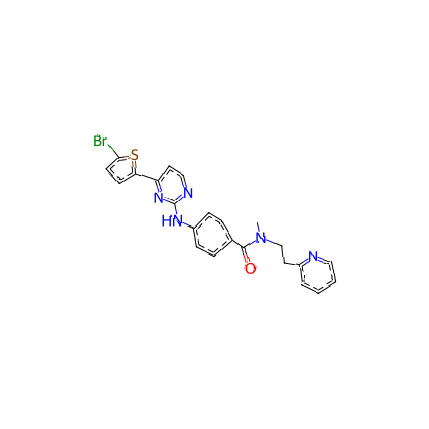 CN(CCc1ccccn1)C(=O)c1ccc(Nc2nccc(-c3ccc(Br)s3)n2)cc1